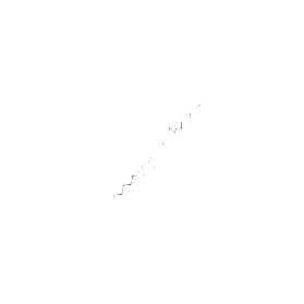 CCCCCC(=O)NCCSSCCNC(=O)CCCCOC